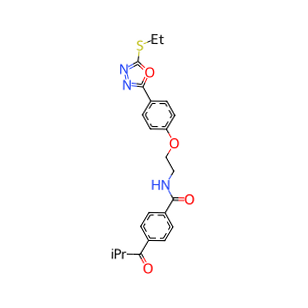 CCSc1nnc(-c2ccc(OCCNC(=O)c3ccc(C(=O)C(C)C)cc3)cc2)o1